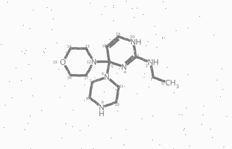 CCNC1=NC(N2CCNCC2)(N2CCOCC2)C=CN1